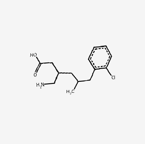 CC(Cc1ccccc1Cl)CC(CN)CC(=O)O